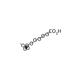 Cc1ccc(S(=O)(=O)OCCOCCOCCOCCOCCOCCC(=O)O)cc1